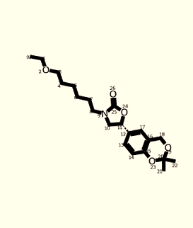 [CH2]COCCCCCCN1C[C@@H](c2ccc3c(c2)COC(C)(C)O3)OC1=O